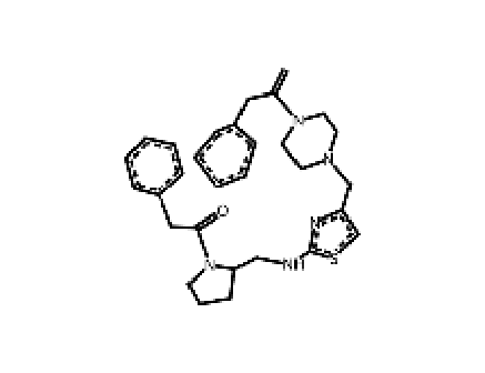 C=C(Cc1ccccc1)N1CCN(Cc2csc(NCC3CCCN3C(=O)Cc3ccccc3)n2)CC1